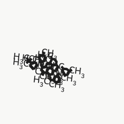 CC1=CC=C(N(c2cc(C(C)(C)C)ccc2C)c2cc3c4c(cc5c(N(c6ccc(C)cc6C)c6cc(C(C)(C)C)ccc6C)cc(C)c6ccc2c4c65)C(C)(C)CC3)C(C)C1